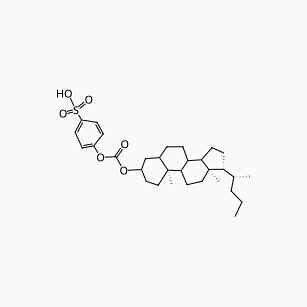 CCC[C@@H](C)[C@H]1CCC2C3CCC4CC(OC(=O)Oc5ccc(S(=O)(=O)O)cc5)CC[C@]4(C)C3CC[C@@]21C